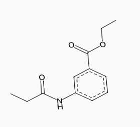 CCOC(=O)c1cccc(NC(=O)CC)c1